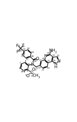 CS(=O)(=O)c1ncccc1N(Cc1ccc2c(c1)nc(N)c1cn[nH]c12)C(=O)c1ccc(C(F)(F)F)nc1